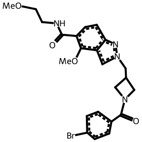 COCCNC(=O)c1ccc2nn(CC3CN(C(=O)c4ccc(Br)cc4)C3)cc2c1OC